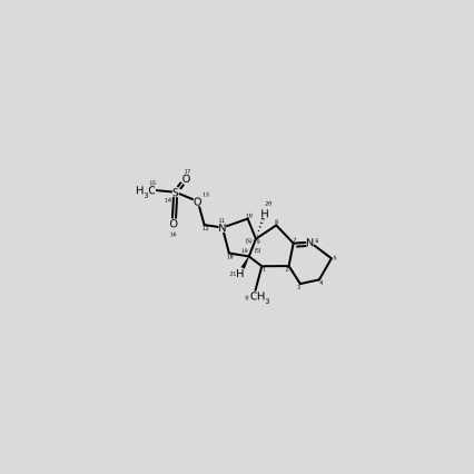 CC1C2CCCN=C2C[C@@H]2CN(COS(C)(=O)=O)C[C@@H]12